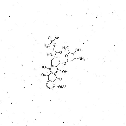 COc1cccc2c1C(=O)c1c(O)c3c(c(O)c1C2=O)C[C@@](O)(C(=O)COP(C)(=O)C(C)=O)C[C@@H]3OC1CC(N)C(O)C(C)O1